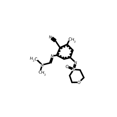 Cc1cc(N=S2(=O)CCOCC2)cc(N=CN(C)C)c1C#N